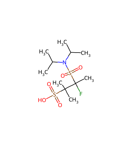 CC(C)N(C(C)C)S(=O)(=O)C(C)(F)C(C)(C)S(=O)(=O)O